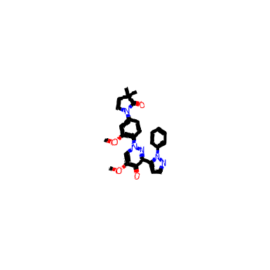 COc1cc(N2CCC(C)(C)C2=O)ccc1-n1cc(OC)c(=O)c(-c2ccnn2-c2ccccc2)n1